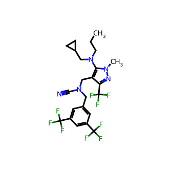 CCCN(CC1CC1)c1c(CN(C#N)Cc2cc(C(F)(F)F)cc(C(F)(F)F)c2)c(C(F)(F)F)nn1C